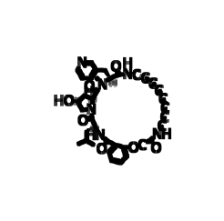 CC(C)C[C@H]1NC(=O)c2ccccc2OCC(=O)NCCCCCCCCNC(=O)[C@H](Cc2cccnc2)N(C)C(=O)[C@H]2C[C@H](O)CN2C1=O